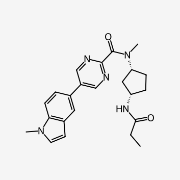 CCC(=O)N[C@H]1CC[C@@H](N(C)C(=O)c2ncc(-c3ccc4c(ccn4C)c3)cn2)C1